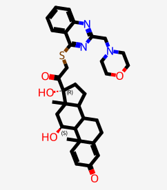 CC12C=CC(=O)C=C1CCC1C2[C@@H](O)CC2(C)C1CC[C@]2(O)C(=O)CSc1nc(CN2CCOCC2)nc2ccccc12